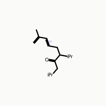 C=C(C)/C=C/CC(C(=O)CC(C)C)C(C)C